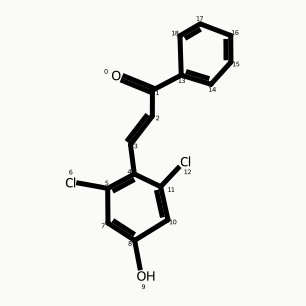 O=C(C=Cc1c(Cl)cc(O)cc1Cl)c1ccccc1